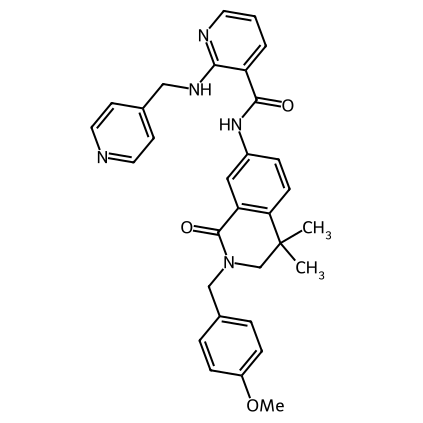 COc1ccc(CN2CC(C)(C)c3ccc(NC(=O)c4cccnc4NCc4ccncc4)cc3C2=O)cc1